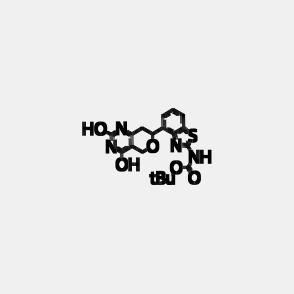 CC(C)(C)OC(=O)Nc1nc2c(C3Cc4nc(O)nc(O)c4CO3)cccc2s1